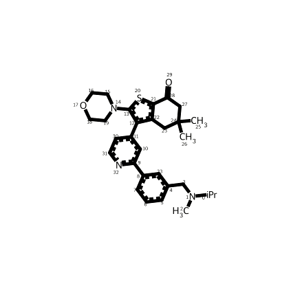 CC(C)N(C)Cc1cccc(-c2cc(-c3c(N4CCOCC4)sc4c3CC(C)(C)CC4=O)ccn2)c1